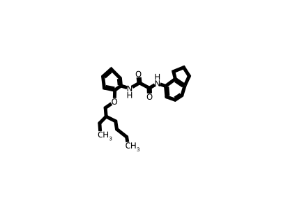 CCCCC(CC)COc1ccccc1NC(=O)C(=O)Nc1cccc2c1CCC2